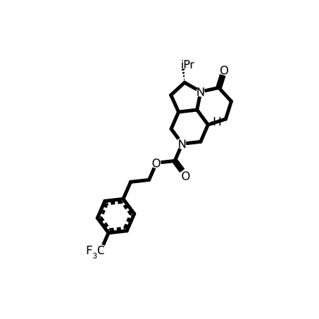 CC(C)[C@H]1CC2CN(C(=O)OCCc3ccc(C(F)(F)F)cc3)C[C@H]3CCC(=O)N1C23